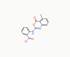 Cc1cccc2nc(Nc3ccccc3[N+](=O)[O-])oc(=O)c12